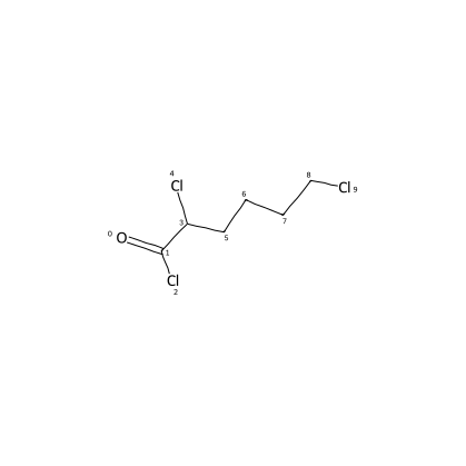 O=C(Cl)C(Cl)CCCCCl